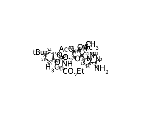 CCOC(=O)[C@H](C)NP(=O)(OC[C@H]1O[C@@](C=NC)(c2ccc3c(N)ncnn23)[C@H](OC(C)=O)[C@@H]1OC(C)=O)Oc1ccc(C(C)(C)C)cc1